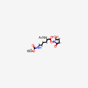 CC(=O)N[C@@H](CCCCNC(=O)OC(C)(C)C)C(=O)ON1C(=O)CCC1O